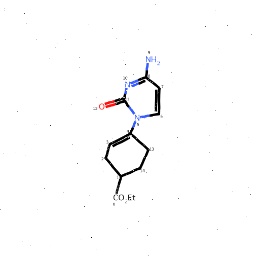 CCOC(=O)C1CC=C(n2ccc(N)nc2=O)CC1